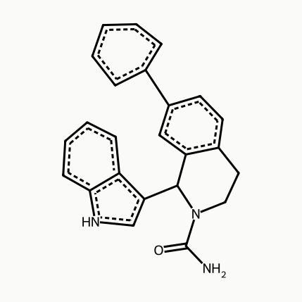 NC(=O)N1CCc2ccc(-c3ccccc3)cc2C1c1c[nH]c2ccccc12